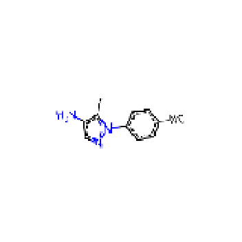 [C-]#[N+]c1ccc(-n2ncc(N)c2C)cc1